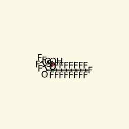 O=C(C(F)(F)C(F)(F)C(F)(F)C(F)(F)C(F)(F)C(F)(F)C(F)(F)C(F)(F)F)C(F)(C(F)(F)F)S(=O)(=O)O